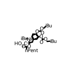 CCCCCC(=O)O[C@](Cc1ccc(OC(=O)OCC(C)CC)c(OC(=O)OCC(C)CC)c1)(NC(C)CC)C(=O)O